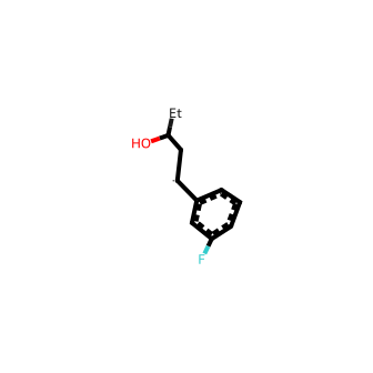 CCC(O)C[CH]c1cccc(F)c1